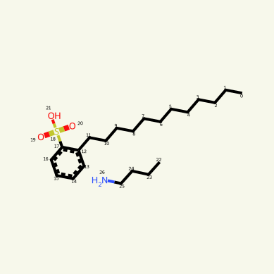 CCCCCCCCCCCCc1ccccc1S(=O)(=O)O.CCCCN